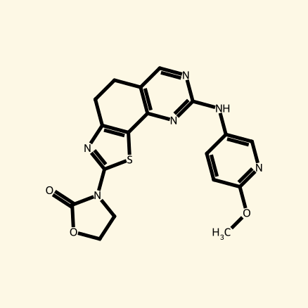 COc1ccc(Nc2ncc3c(n2)-c2sc(N4CCOC4=O)nc2CC3)cn1